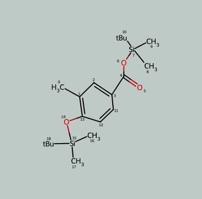 Cc1cc(C(=O)O[Si](C)(C)C(C)(C)C)ccc1O[Si](C)(C)C(C)(C)C